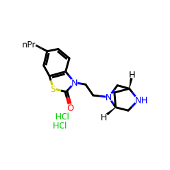 CCCc1ccc2c(c1)sc(=O)n2CCN1C[C@H]2C[C@@H]1CN2.Cl.Cl